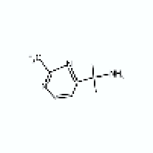 CC(C)(N)c1ccnc(C(F)(F)F)n1